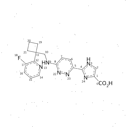 O=C(O)c1c[nH]c(-c2ccc(NCC3(c4ncccc4F)CCC3)nn2)n1